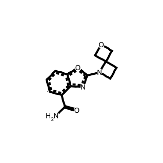 NC(=O)c1[c]ccc2oc(N3CCC34COC4)nc12